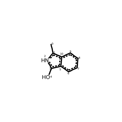 Cc1[nH]c(O)c2ccccc12